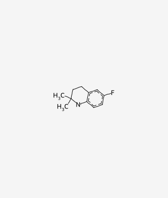 CC1(C)CCc2cc(F)ccc2[N]1